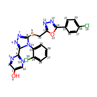 Oc1cnc(-c2nnc(SCc3nnc(-c4ccc(Cl)cc4)o3)n2-c2ccccc2Cl)nc1